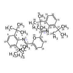 C/C(=N\c1c(C(C)(C)C)cccc1C(C)(C)C)C1=CCC=C(/C(C)=N/c2c(C(C)(C)C)cccc2C(C)(C)C)O1